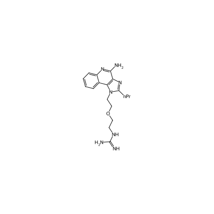 CCCc1nc2c(N)nc3ccccc3c2n1CCOCCNC(=N)N